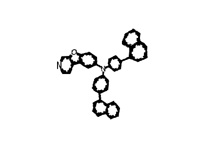 c1ccc2c(-c3ccc(N(c4ccc(-c5cccc6ccccc56)cc4)c4ccc5oc6cnccc6c5c4)cc3)cccc2c1